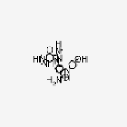 CNc1nn(-c2ccc(C(N)=O)c(NC3CCC(O)CC3)c2)c2c1C(=O)CC(NC)(NC)C2